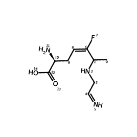 CC(NCC=N)/C(F)=C\C[C@H](N)C(=O)O